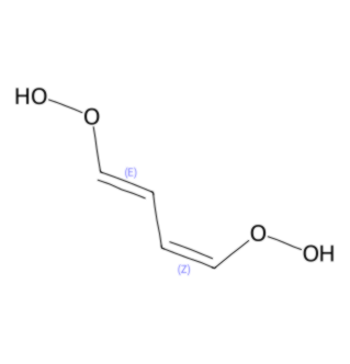 OO/C=C\C=C\OO